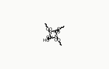 CCCCOC(=O)CN1CCN(CC(=O)O)CCN(CC(=O)OCCCC)CCN(CC(=O)OCCCC)CC1